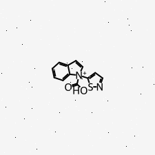 O=C(O)[N+]1(c2ccns2)C=Cc2ccccc21